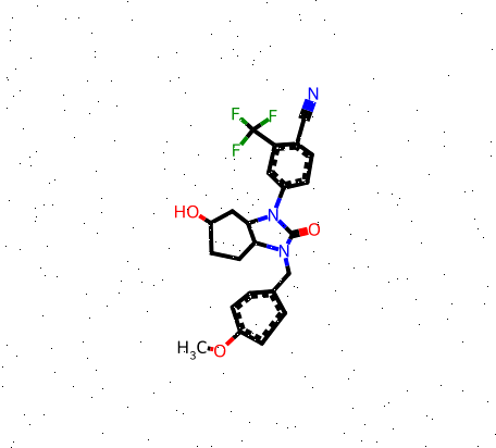 COc1ccc(CN2C(=O)N(c3ccc(C#N)c(C(F)(F)F)c3)C3CC(O)CCC32)cc1